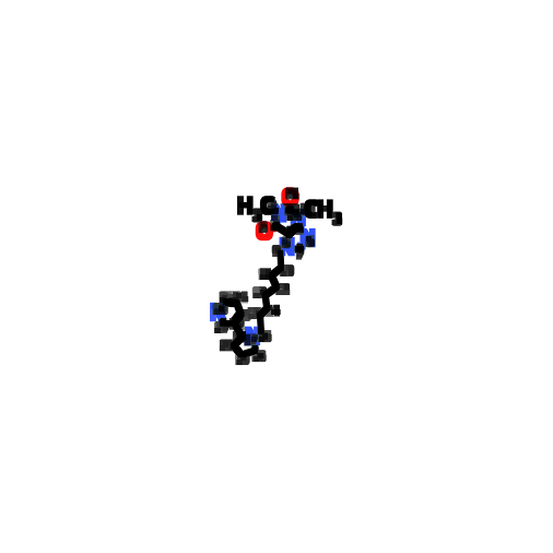 Cn1c(=O)c2c(ncn2CCCCCCCCN2CCCC2c2cccnc2)n(C)c1=O